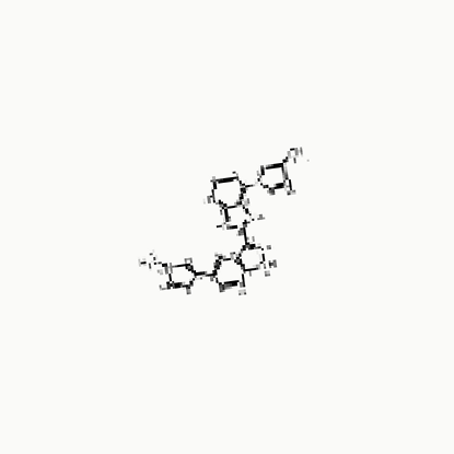 Cc1cn(-c2ccnc3[nH]c(-c4n[nH]c5ncc(-c6cnn(C)c6)cc45)nc23)cn1